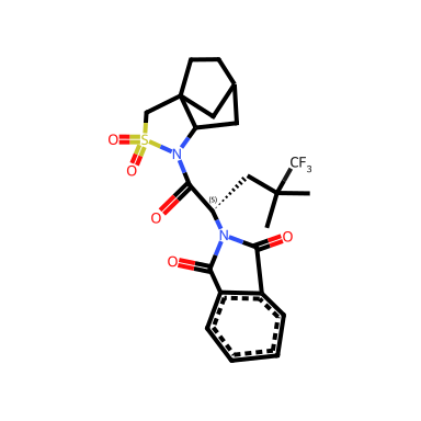 CC(C)(C[C@@H](C(=O)N1C2CC3CCC2(C3)CS1(=O)=O)N1C(=O)c2ccccc2C1=O)C(F)(F)F